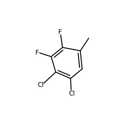 Cc1cc(Cl)c(Cl)c(F)c1F